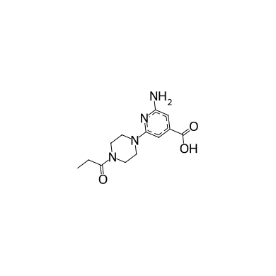 CCC(=O)N1CCN(c2cc(C(=O)O)cc(N)n2)CC1